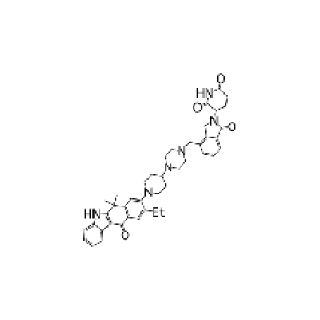 CCc1cc2c(cc1N1CCC(N3CCN(Cc4cccc5c4CN(C4CCC(=O)NC4=O)C5=O)CC3)CC1)C(C)(C)c1[nH]c3ccccc3c1C2=O